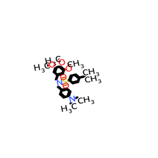 CCN(CC)c1ccc(CN(Cc2cc(OC)c(OC)c(OC)c2)S(=O)(=O)c2ccc(C(C)C)cc2)cc1